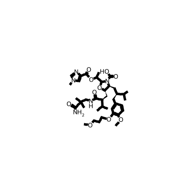 COCCCOc1cc(C[C@@H](C[C@H]2[C@H](C[C@H](C(=O)NCC(C)(C)C(N)=O)C(C)C)OC(C(C)OC(=O)c3cn(C)cn3)N2C(=O)O)C(C)C)ccc1OC